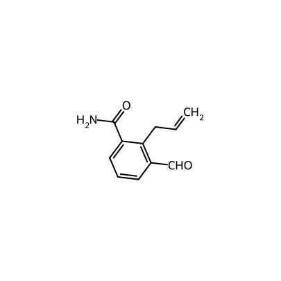 C=CCc1c(C=O)cccc1C(N)=O